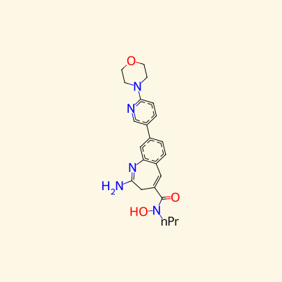 CCCN(O)C(=O)C1=Cc2ccc(-c3ccc(N4CCOCC4)nc3)cc2N=C(N)C1